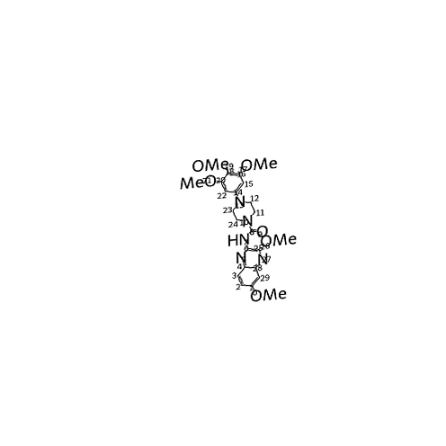 COc1ccc2nc(NC(=O)N3CCN(c4cc(OC)c(OC)c(OC)c4)CC3)c(OC)nc2c1